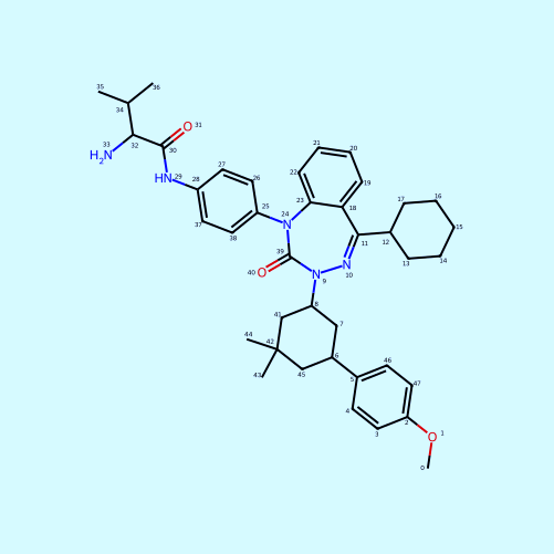 COc1ccc(C2CC(N3N=C(C4CCCCC4)c4ccccc4N(c4ccc(NC(=O)C(N)C(C)C)cc4)C3=O)CC(C)(C)C2)cc1